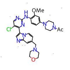 COc1cc(N2CCN(C(C)=O)CC2)ccc1Nc1ncc(Cl)c(-c2cnc3cc(CN4CCOCC4)ccn23)n1